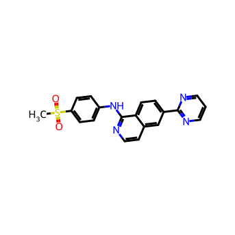 CS(=O)(=O)c1ccc(Nc2nccc3cc(-c4ncccn4)ccc23)cc1